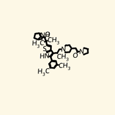 Cc1cc(C)cc(-c2[nH]c3sc(C(C)(C)C(=O)C4C5CCC4NC5)cc3c2[C@H](C)CN2CCC(CC(=O)N3CCCC3)CC2)c1